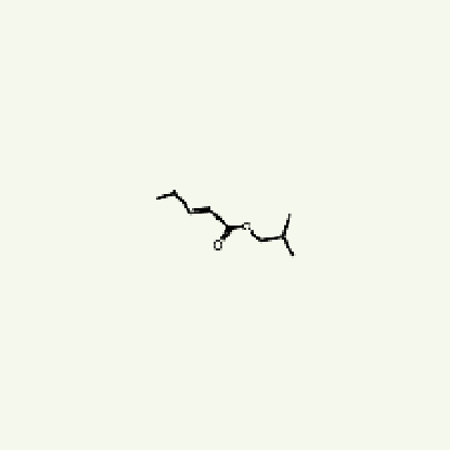 CCC=CC(=O)OCC(C)C